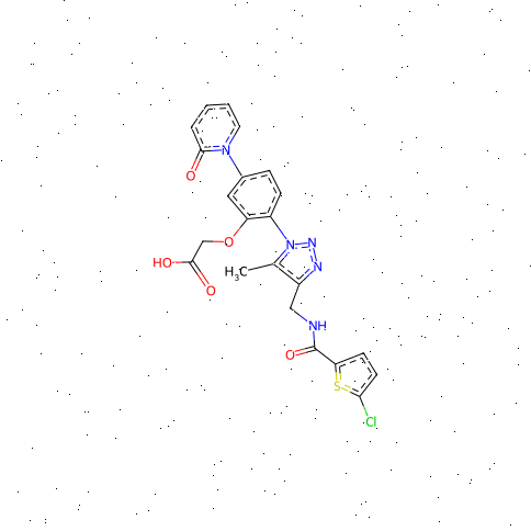 Cc1c(CNC(=O)c2ccc(Cl)s2)nnn1-c1ccc(-n2ccccc2=O)cc1OCC(=O)O